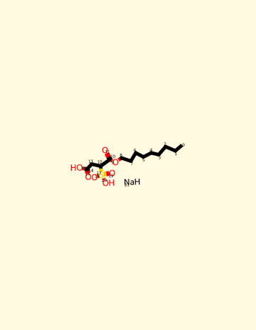 CCCCCCCCCOC(=O)C(CC(=O)O)S(=O)(=O)O.[NaH]